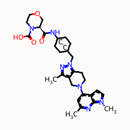 Cc1cc(N2CCc3c(c(C)nn3CC34CCC(NC(=O)[C@@H]5COCCN5C(=O)O)(CC3)CC4)C2)c2ccn(C)c2n1